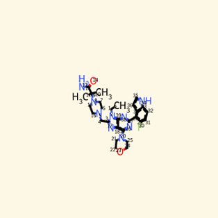 CCn1c(CN2CCN(C(C)(C)C(N)=O)CC2)nc2c(N3CCOCC3)nc(-c3c(F)ccc4[nH]ccc34)nc21